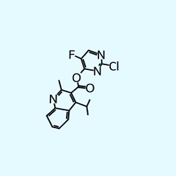 Cc1nc2ccccc2c(C(C)C)c1C(=O)Oc1nc(Cl)ncc1F